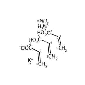 C=CC(=O)O.C=CC(=O)O.C=CC(=O)[O-].N.N.[K+]